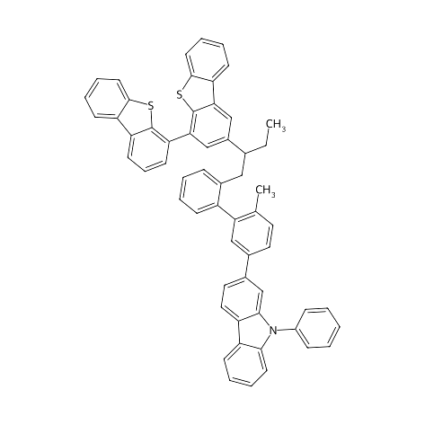 CCC(Cc1ccccc1-c1cc(-c2ccc3c4ccccc4n(-c4ccccc4)c3c2)ccc1C)c1cc(-c2cccc3c2sc2ccccc23)c2sc3ccccc3c2c1